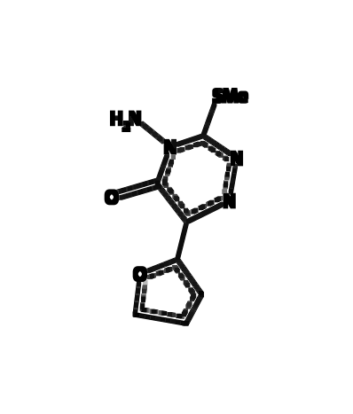 CSc1nnc(-c2ccco2)c(=O)n1N